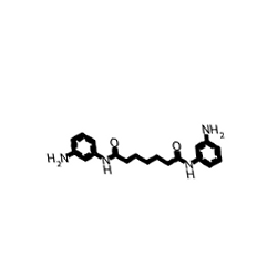 Nc1cccc(NC(=O)CCCCCC(=O)Nc2cccc(N)c2)c1